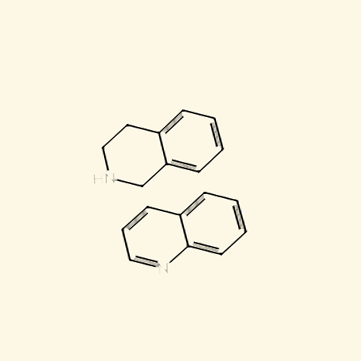 c1ccc2c(c1)CCNC2.c1ccc2ncccc2c1